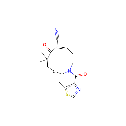 Cc1scnc1C(=O)N1CC/C=C(/C#N)C(=O)C(C)(C)CCC1